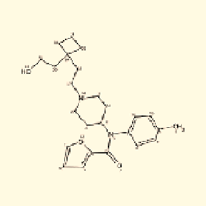 Cc1ccc(N(C(=O)c2ccco2)C2CCN(CCC3(CCO)CCC3)CC2)cc1